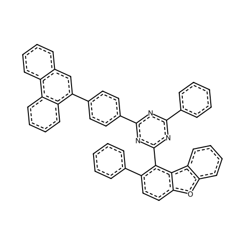 c1ccc(-c2nc(-c3ccc(-c4cc5ccccc5c5ccccc45)cc3)nc(-c3c(-c4ccccc4)ccc4oc5ccccc5c34)n2)cc1